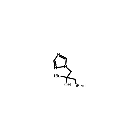 CCCC(C)CC(O)(Cn1cncn1)C(C)(C)C